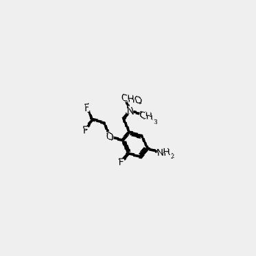 CN(C=O)Cc1cc(N)cc(F)c1OCC(F)F